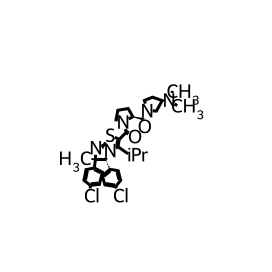 CC(C)C1=C(C(=O)N2CCC[C@H]2C(=O)N2CC[C@H](N(C)C)C2)SC2=N[C@@](C)(c3ccc(Cl)cc3)[C@@H](c3ccc(Cl)cc3)N21